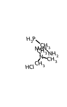 CN(C)C.CNN.CP.Cl